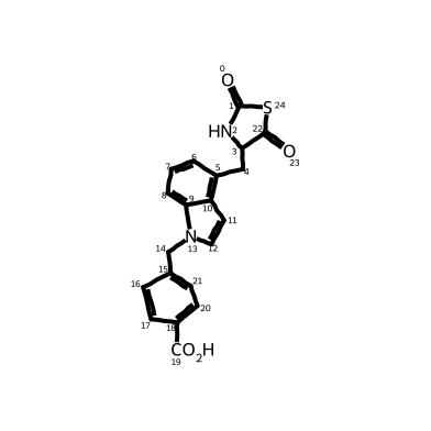 O=C1NC(Cc2cccc3c2ccn3Cc2ccc(C(=O)O)cc2)C(=O)S1